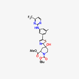 COC(=O)C1CC(O)(c2ncc(-c3cc(C)cc(Nc4nccc(C(F)(F)F)n4)c3)s2)CCN1C(=O)OC(C)(C)C